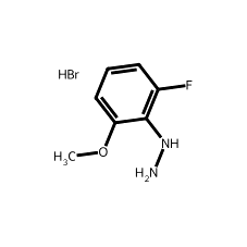 Br.COc1cccc(F)c1NN